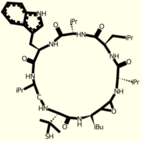 CC[C@H](C)[C@H]1NC(=O)[C@H](C(C)(C)S)NCC(C(C)C)NC(=O)[C@@H](Cc2c[nH]c3ccccc23)NC(=O)[C@H](C(C)C)NC(=O)[C@@H](CC(C)C)NC(=O)[C@H](C(C)C)NC2OC21